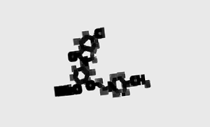 COc1ccc(N2Cc3cc(Cl)ccc3C2=O)cc1OCCN1CCC(C)CC1.Cl